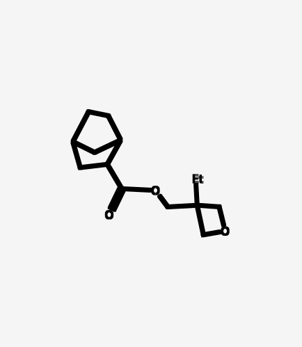 CCC1(COC(=O)C2CC3CCC2C3)COC1